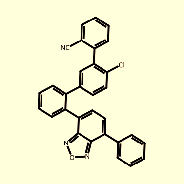 N#Cc1ccccc1-c1cc(-c2ccccc2-c2ccc(-c3ccccc3)c3nonc23)ccc1Cl